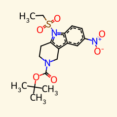 CCS(=O)(=O)n1c2c(c3cc([N+](=O)[O-])ccc31)CN(C(=O)OC(C)(C)C)CC2